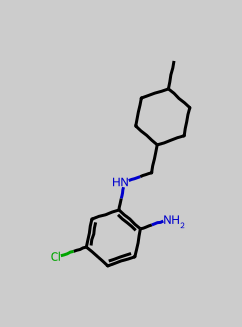 CC1CCC(CNc2cc(Cl)ccc2N)CC1